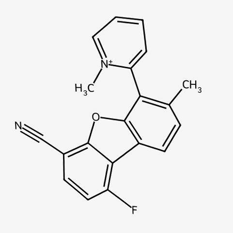 Cc1ccc2c(oc3c(C#N)ccc(F)c32)c1-c1cccc[n+]1C